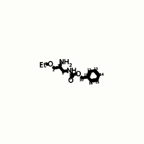 CCOCC(N)CNC(=O)OCc1ccccc1